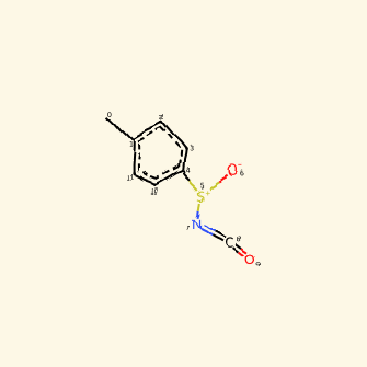 Cc1ccc([S+]([O-])N=C=O)cc1